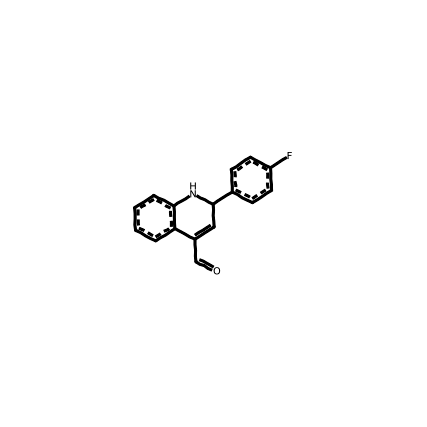 O=CC1=CC(c2ccc(F)cc2)Nc2ccccc21